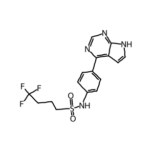 O=S(=O)(CCCC(F)(F)F)Nc1ccc(-c2ncnc3[nH]ccc23)cc1